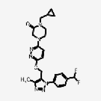 Cc1nnn(-c2ccc(C(F)F)cc2)c1COc1ccc(N2CCN(CC3CC3)C(=O)C2)nn1